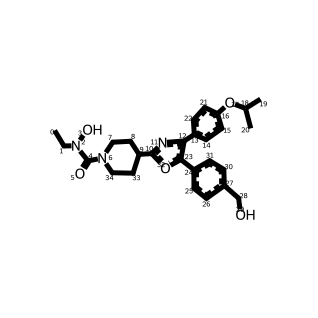 CCN(O)C(=O)N1CCC(c2nc(-c3ccc(OC(C)C)cc3)c(-c3ccc(CO)cc3)o2)CC1